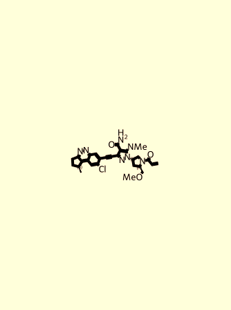 C=CC(=O)N1C[C@@H](n2nc(C#Cc3cc4nnc5c(c4cc3Cl)[C@@H](C)CC5)c(C(N)=O)c2NC)C[C@@H]1COC